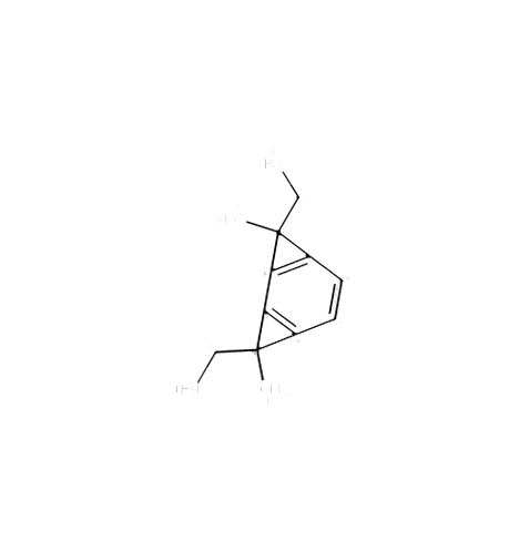 CC(C)(C)CC1(C)c2ccc3c(c21)C3(C)CC(C)(C)C